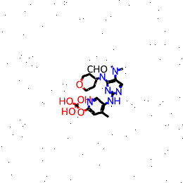 Cc1cc(OC(O)(O)O)ncc1Nc1ncc(N(C)C)c(N(C=O)C2CCOCC2)n1